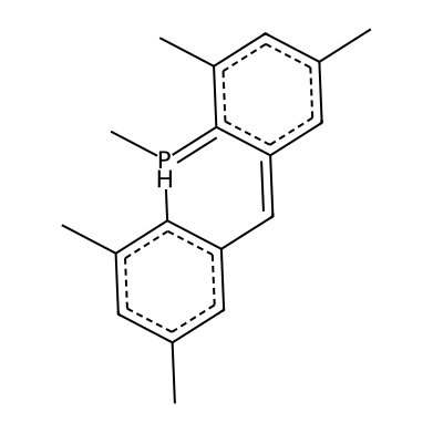 Cc1cc(C)c2c(c1)C=c1cc(C)cc(C)c1=[PH]2C